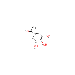 CC(=O)C1=CC(O)=C(O)[C@H](O)C1